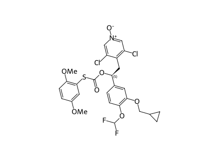 COc1ccc(OC)c(SC(=O)O[C@@H](Cc2c(Cl)c[n+]([O-])cc2Cl)c2ccc(OC(F)F)c(OCC3CC3)c2)c1